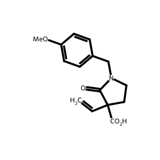 C=CC1(C(=O)O)CCN(Cc2ccc(OC)cc2)C1=O